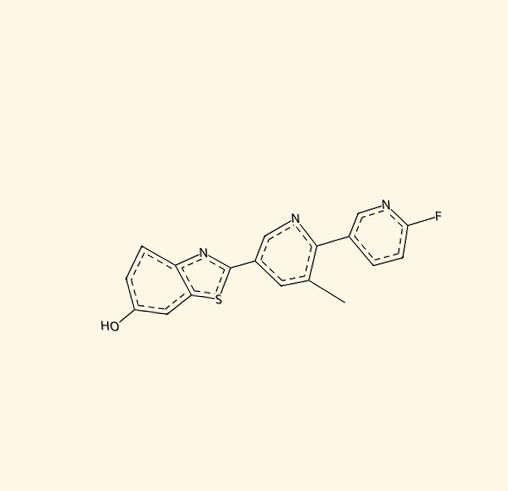 Cc1cc(-c2nc3ccc(O)cc3s2)cnc1-c1ccc(F)nc1